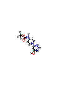 COc1cc(N2CCC(N(C)C(=O)OC(C)(C)C)CC2)ncn1